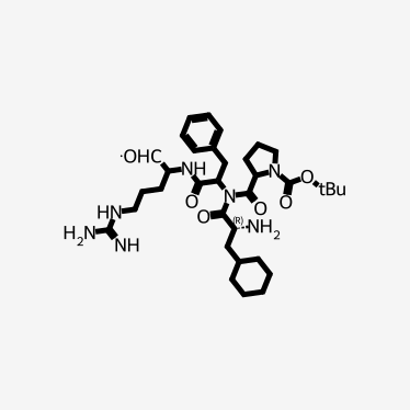 CC(C)(C)OC(=O)N1CCCC1C(=O)N(C(=O)[C@H](N)CC1CCCCC1)C(Cc1ccccc1)C(=O)NC([C]=O)CCCNC(=N)N